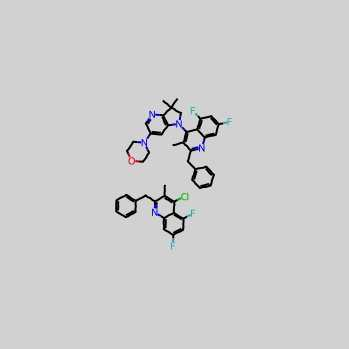 Cc1c(Cc2ccccc2)nc2cc(F)cc(F)c2c1Cl.Cc1c(Cc2ccccc2)nc2cc(F)cc(F)c2c1N1CC(C)(C)c2ncc(N3CCOCC3)cc21